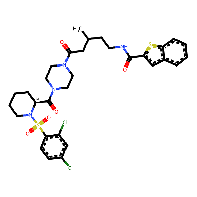 CC(CCNC(=O)c1cc2ccccc2s1)CC(=O)N1CCN(C(=O)[C@@H]2CCCCN2S(=O)(=O)c2ccc(Cl)cc2Cl)CC1